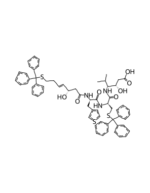 CC(C)[C@@H](NC(=O)[C@@H](CSC(c1ccccc1)(c1ccccc1)c1ccccc1)NC(=O)[C@@H](Cc1ccsc1)NC(=O)C[C@H](O)/C=C/CCSC(c1ccccc1)(c1ccccc1)c1ccccc1)[C@@H](O)CC(=O)O